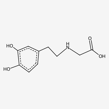 O=C(O)CNCCc1ccc(O)c(O)c1